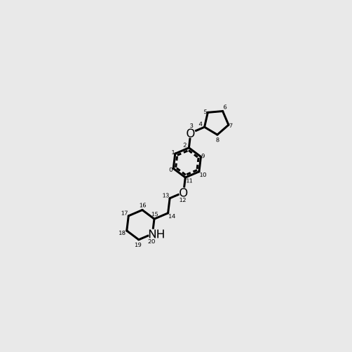 c1cc(OC2CCCC2)ccc1OCCC1CCCCN1